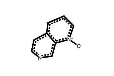 [O-][n+]1cc[c]c2ccncc21